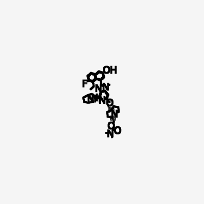 CCc1c(F)ccc2cc(O)cc(-c3nc4c(N5CC6CCC(C5)N6)nc(OC[C@]56CCCN5[C@@H](COC(=O)N(C)C)CC6)cc4n3C)c12